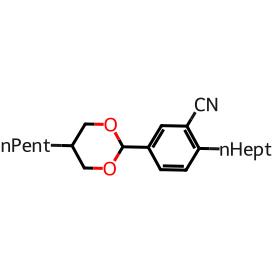 CCCCCCCc1ccc(C2OCC(CCCCC)CO2)cc1C#N